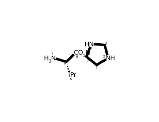 C1CNCN1.CC(C)[C@H](N)C(=O)O